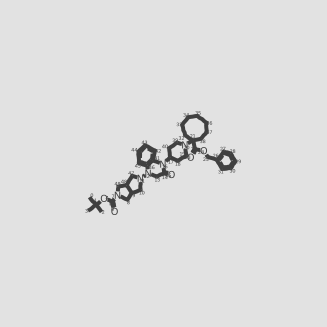 CC(C)(C)OC(=O)N1CC2CN(N3CC(=O)N(C4CCN(C5(C(=O)OCc6ccccc6)CCCCCCC5)CC4)c4ccccc43)CC2C1